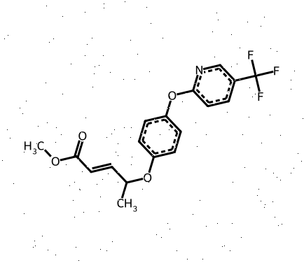 COC(=O)C=CC(C)Oc1ccc(Oc2ccc(C(F)(F)F)cn2)cc1